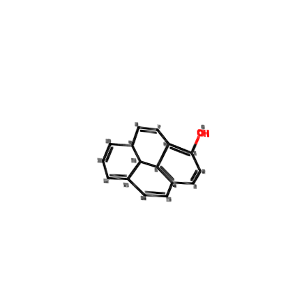 Oc1ccc2c3c1C=CC1C=CC=C(C=C2)C31